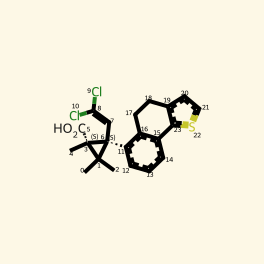 CC1(C)[C@](C)(C(=O)O)[C@]1(C=C(Cl)Cl)c1cccc2c1CCc1ccsc1-2